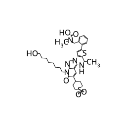 CC(Nc1ncnc2c1cc(C1CCS(=O)(=O)CC1)c(=O)n2CCCCCCCCO)c1ccc(-c2ccccc2CN(C)C(=O)O)s1